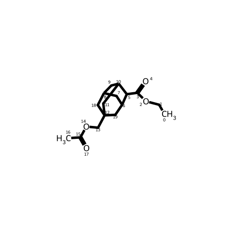 CCOC(=O)C1C2CC3CC1CC(COC(C)=O)(C3)C2